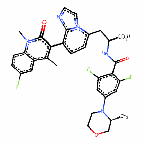 Cc1c(-c2ccc(CC(NC(=O)c3c(F)cc(N4CCOC[C@@H]4C(F)(F)F)cc3F)C(=O)O)n3ccnc23)c(=O)n(C)c2ccc(F)cc12